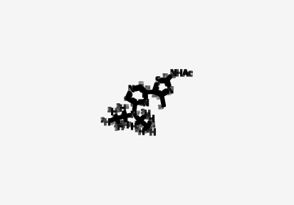 [2H]C([2H])([2H])C([2H])([2H])N(c1cncc(-c2sc(NC(C)=O)nc2C)n1)C([2H])([2H])C([2H])([2H])[2H]